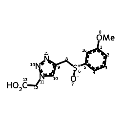 COc1cccc([S+]([O-])Cc2cn(CC(=O)O)nn2)c1